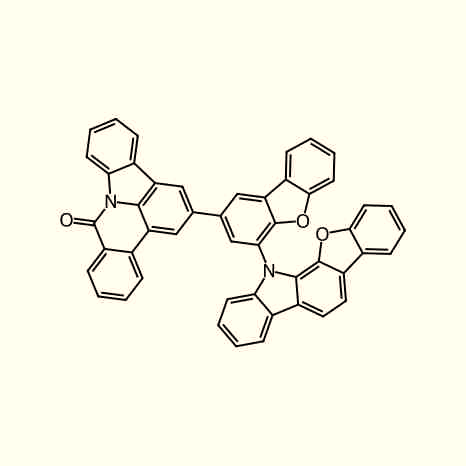 O=c1c2ccccc2c2cc(-c3cc(-n4c5ccccc5c5ccc6c7ccccc7oc6c54)c4oc5ccccc5c4c3)cc3c4ccccc4n1c23